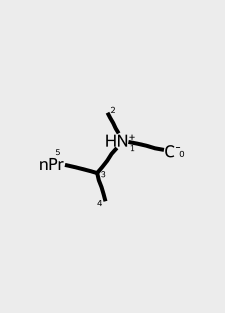 [CH2-][NH+](C)C(C)CCC